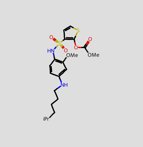 COC(=O)Oc1sccc1S(=O)(=O)Nc1ccc(NCCCCC(C)C)cc1OC